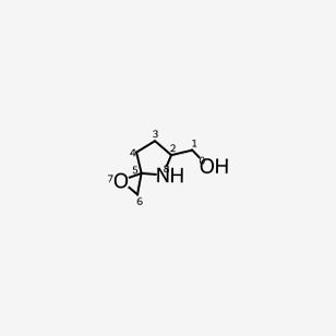 OCC1CCC2(CO2)N1